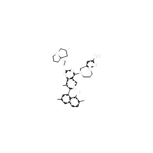 Nc1cc2n(n1)CCCN(c1nc(OC[C@@]34CCCN3C[C@H](F)C4)nc3c(F)c(-c4cc(O)cc5ccc(F)c(Cl)c45)ncc13)C2